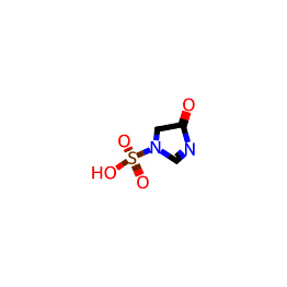 O=C1CN(S(=O)(=O)O)C=N1